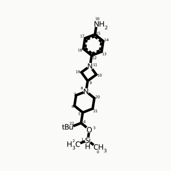 C[SiH](C)OC(C1CCN(C2CN(c3ccc(N)cc3)C2)CC1)C(C)(C)C